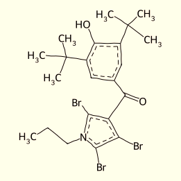 CCCn1c(Br)c(Br)c(C(=O)c2cc(C(C)(C)C)c(O)c(C(C)(C)C)c2)c1Br